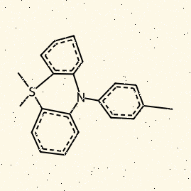 Cc1ccc(N2c3ccccc3S(C)(C)c3ccccc32)cc1